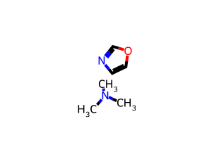 CN(C)C.c1cocn1